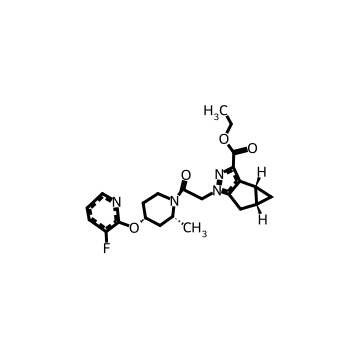 CCOC(=O)c1nn(CC(=O)N2CC[C@@H](Oc3ncccc3F)C[C@H]2C)c2c1[C@@H]1C[C@@H]1C2